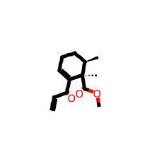 C=CC(=O)C1=CCC[C@@H](C)[C@@]1(C)C(=O)OC